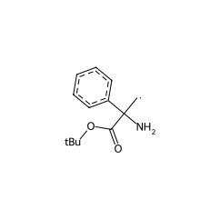 [CH2]C(N)(C(=O)OC(C)(C)C)c1ccccc1